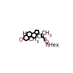 CCCCCCOCCCC(C)[C@H]1CCC2C3CC[C@@H]4CC(=O)CC[C@]4(C)C3CC[C@@]21C